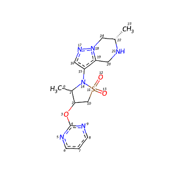 CC1C(Oc2ncccn2)CS(=O)(=O)N1c1cnn2c1CN[C@@H](C)C2